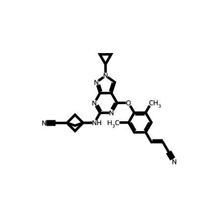 Cc1cc(/C=C/C#N)cc(C)c1Oc1nc(NC23CC(C#N)(C2)C3)nc2nn(C3CC3)cc12